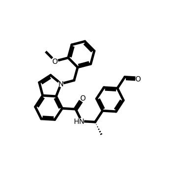 COc1ccccc1Cn1ccc2cccc(C(=O)N[C@@H](C)c3ccc(C=O)cc3)c21